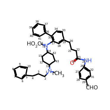 CN(CCCc1ccccc1)C1CCC(N(C(=O)O)c2cc(CCCC(=O)Nc3ccc(C=O)cc3)ccc2-c2ccccc2)CC1